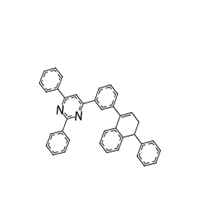 C1=C(c2cccc(-c3cc(-c4ccccc4)nc(-c4ccccc4)n3)c2)c2ccccc2C(c2ccccc2)C1